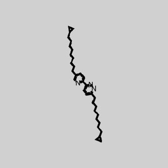 c1cc(-c2ccc(CCCCCCCCCC3CC3)nn2)ncc1CCCCCCCCCC1CC1